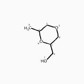 CC1COCC(CO)O1